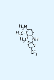 Cc1c(N)ccc(Nc2nc(C(F)(F)F)cs2)c1C